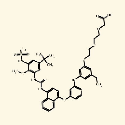 CCc1cc(Nc2cc(Oc3ccc(NC(=O)Nc4cc(C(C)(C)C)cc(NS(C)(=O)=O)c4OC)c4ccccc34)ccn2)cc(OCCOCCOCC(=O)O)c1